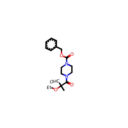 CCOC(C)(C=O)C(=O)N1CCN(C(=O)OCc2ccccc2)CC1